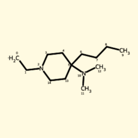 [CH2]CN1CCC(CCCC)(N(C)C)CC1